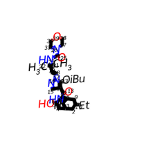 CCC1CC2C[C@H](O)CC(C1)[C@@H]2NC(=O)c1cnn(/C=C/C(C)(C)NC(=O)N2CCOCC2)c1OCC(C)C